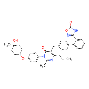 CCCc1nc(C)n(-c2ccc(OC3CCC(C)(O)CC3)cc2)c(=O)c1Cc1ccc(-c2ccccc2-c2noc(=O)[nH]2)cc1